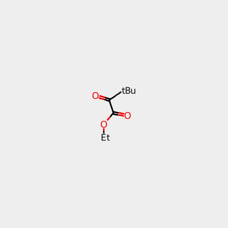 CCOC(=O)C(=O)C(C)(C)C